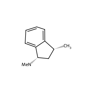 CN[C@H]1C[C@@H](C)c2ccccc21